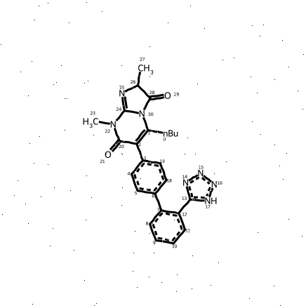 CCCCC1=C(c2ccc(-c3ccccc3-c3nnn[nH]3)cc2)C(=O)N(C)C2=NC(C)C(=O)N21